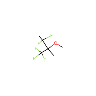 COC(C)(C(C)(F)F)C(F)(F)F